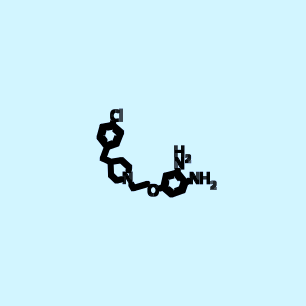 Nc1ccc(OCCN2CCC(Cc3ccc(Cl)cc3)CC2)cc1N